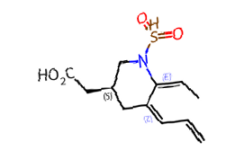 C=C/C=C1/C[C@@H](CC(=O)O)CN([SH](=O)=O)/C1=C/C